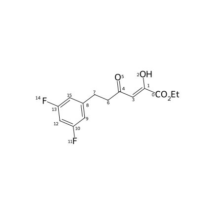 CCOC(=O)/C(O)=C/C(=O)CCc1cc(F)cc(F)c1